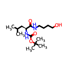 CC(C)C[C@H](NC(=O)OC(C)(C)C)C(=O)NCCCCO